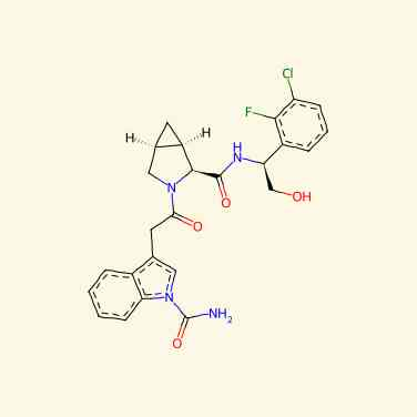 NC(=O)n1cc(CC(=O)N2C[C@H]3C[C@H]3[C@H]2C(=O)N[C@H](CO)c2cccc(Cl)c2F)c2ccccc21